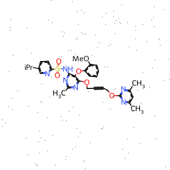 COc1ccccc1Oc1c(NS(=O)(=O)c2ccc(C(C)C)cn2)nc(C)nc1OCC#CCOc1nc(C)cc(C)n1